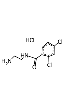 Cl.NCCNC(=O)c1ccc(Cl)cc1Cl